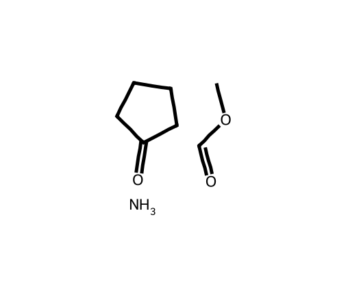 COC=O.N.O=C1CCCC1